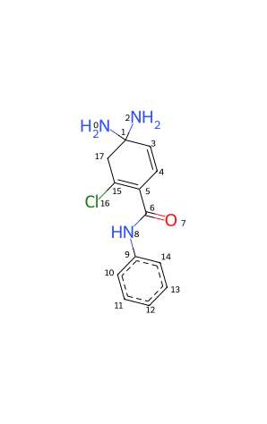 NC1(N)C=CC(C(=O)Nc2ccccc2)=C(Cl)C1